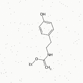 C=C(NCCc1ccc(O)cc1)OCC